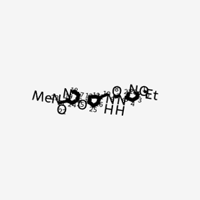 CCOc1ccc(NC(=O)NCc2ccc(Oc3ccnc(C(=O)NC)c3)cc2)cn1